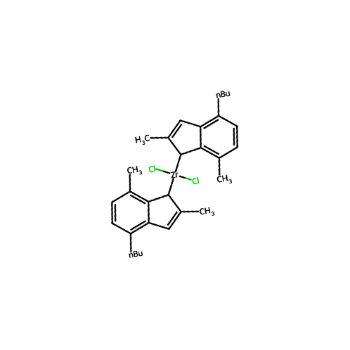 CCCCc1ccc(C)c2c1C=C(C)[CH]2[Zr]([Cl])([Cl])[CH]1C(C)=Cc2c(CCCC)ccc(C)c21